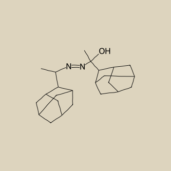 CC(N=NC(C)(O)C1C2CC3CC(C2)CC1C3)C1C2CC3CC(C2)CC1C3